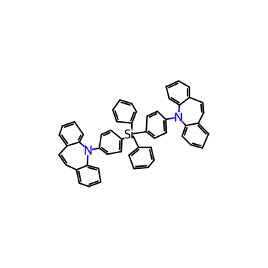 C1=Cc2ccccc2N(c2ccc([Si](c3ccccc3)(c3ccccc3)c3ccc(N4c5ccccc5C=Cc5ccccc54)cc3)cc2)c2ccccc21